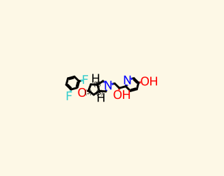 Oc1ccc(C(O)CN2C[C@H]3C[C@H](Oc4c(F)cccc4F)C[C@H]3C2)nc1